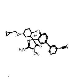 CN1C(=O)C2(N=C1N)c1cc(-c3cncc(C#N)c3)ccc1OC1CC[C@H](OCC3CC3)C[C@@H]12